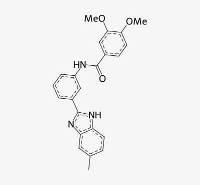 COc1ccc(C(=O)Nc2cccc(-c3nc4cc(C)ccc4[nH]3)c2)cc1OC